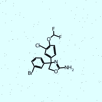 NC1=NC(c2cccc(Br)c2)(c2ccc(OC(F)F)c(Cl)c2)CO1